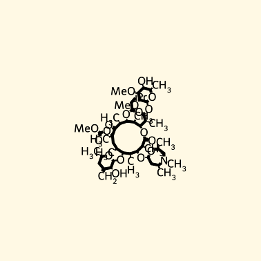 C=C1C[C@@H](C)O[C@@H](O[C@@H]2[C@@H](C)[C@H](O[C@H]3C[C@H](C)N(C)C[C@H](C)O3)[C@@H](C)C(=O)O[C@H]([C@@H](C)CO[C@@H]3O[C@H](C)[C@@H](O)[C@@H](OC)[C@H]3OC)[C@H](C)[C@@H](OC(=O)CC(C)C)[C@@H](C)C(=O)[C@@](C)(OC(=O)OC)C[C@@H]2C)[C@@H]1O